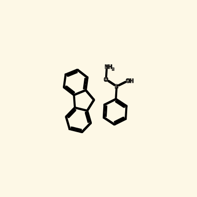 NOB(O)c1ccccc1.c1ccc2c(c1)Cc1ccccc1-2